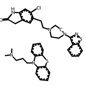 CN(C)CCCN1c2ccccc2Sc2ccccc21.O=C1Cc2cc(CCN3CCN(c4nsc5ccccc45)CC3)c(Cl)cc2N1